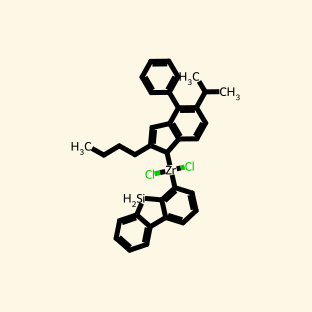 CCCCC1=Cc2c(ccc(C(C)C)c2-c2ccccc2)[CH]1[Zr]([Cl])([Cl])[c]1cccc2c1[SiH2]c1ccccc1-2